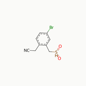 N#CCc1ccc(Br)cc1C[SH](=O)=O